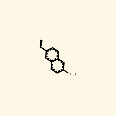 C=Cc1ccc2cc(S(=O)(=O)O)ccc2c1